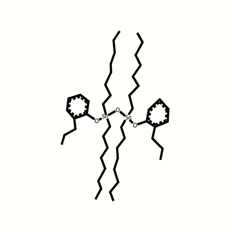 CCCCCCC[CH2][Sn]([CH2]CCCCCCC)([O]c1ccccc1CCC)[O][Sn]([CH2]CCCCCCC)([CH2]CCCCCCC)[O]c1ccccc1CCC